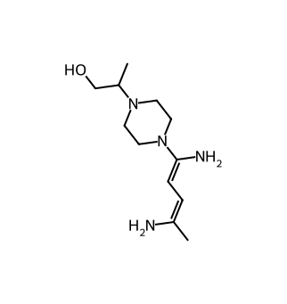 C/C(N)=C/C=C(\N)N1CCN(C(C)CO)CC1